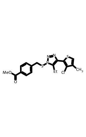 CCc1c(-c2scc(C)c2Cl)nnn1SCc1ccc(C(=O)OC)cc1